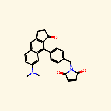 CN(C)c1ccc2cc3c(c(-c4ccc(CN5C(=O)C=CC5=O)cc4)c2c1)C(=O)CC3